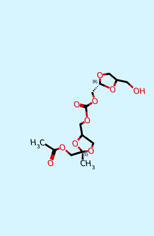 CC(=O)OC[C@@]1(C)OCC(COC(=O)OC[C@@H]2OCC(CO)O2)O1